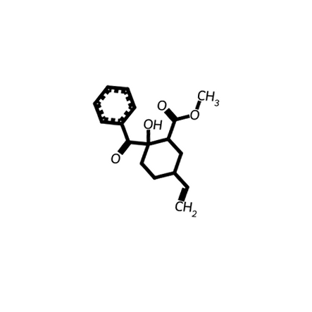 C=CC1CCC(O)(C(=O)c2ccccc2)C(C(=O)OC)C1